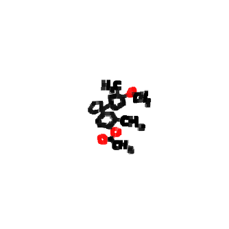 COc1ccc(C2(c3ccc(OC(C)=O)c(C)c3)CCCC2)cc1C